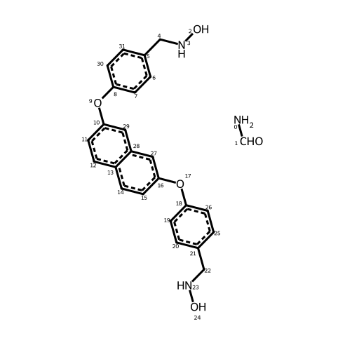 NC=O.ONCc1ccc(Oc2ccc3ccc(Oc4ccc(CNO)cc4)cc3c2)cc1